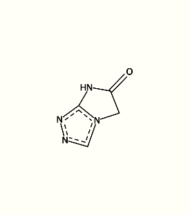 O=C1Cn2cnnc2N1